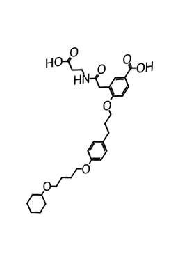 O=C(O)CCNC(=O)Cc1cc(C(=O)O)ccc1OCCCc1ccc(OCCCCOC2CCCCC2)cc1